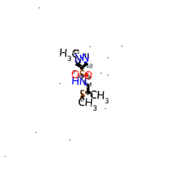 CSC(C)CNS(=O)(=O)c1cnn(C)c1